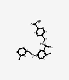 Cc1cccc(COc2ccc(C)c(C(=O)NCc3ccc(C(=O)O)cc3)c2)c1